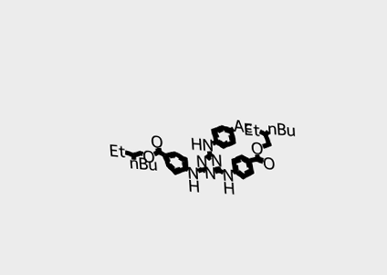 CCCCC(CC)COC(=O)c1ccc(Nc2nc(Nc3ccc(C(C)=O)cc3)nc(Nc3ccc(C(=O)OCC(CC)CCCC)cc3)n2)cc1